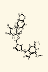 COc1nc(N)nc2c1ncn2[C@H]1C=C[C@@H](COP(=O)(N[C@@H](C)C(=O)O)Oc2ccc3c(c2)OCO3)C1